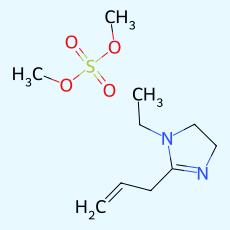 C=CCC1=NCCN1CC.COS(=O)(=O)OC